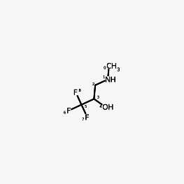 CNCC(O)C(F)(F)F